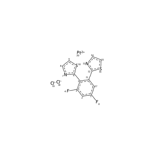 Fc1cc(F)c(-c2nccs2)c(-c2nccs2)c1.[Cl-].[Cl-].[Pt+2]